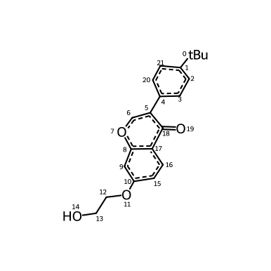 CC(C)(C)c1ccc(-c2coc3cc(OCCO)ccc3c2=O)cc1